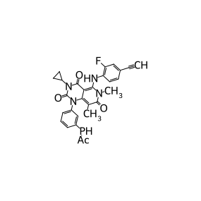 C#Cc1ccc(Nc2c3c(=O)n(C4CC4)c(=O)n(-c4cccc(PC(C)=O)c4)c3c(C)c(=O)n2C)c(F)c1